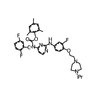 Cc1cc(C)c(OC(=O)N(Cc2cc(F)ccc2F)c2ccnc(Nc3ccc(OCCN4CCN(C(C)C)CC4)c(F)c3)n2)c(C)c1